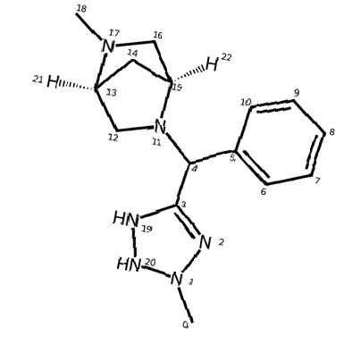 CN1N=C(C(c2ccccc2)N2C[C@@H]3C[C@H]2CN3C)NN1